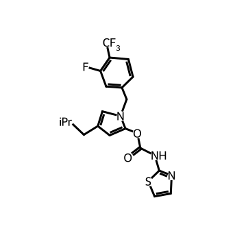 CC(C)Cc1cc(OC(=O)Nc2nccs2)n(Cc2ccc(C(F)(F)F)c(F)c2)c1